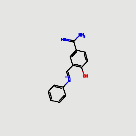 N=C(N)c1ccc(O)c(/C=N/c2ccccc2)c1